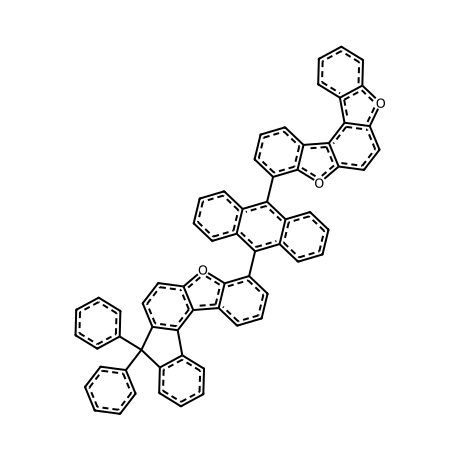 c1ccc(C2(c3ccccc3)c3ccccc3-c3c2ccc2oc4c(-c5c6ccccc6c(-c6cccc7c6oc6ccc8oc9ccccc9c8c67)c6ccccc56)cccc4c32)cc1